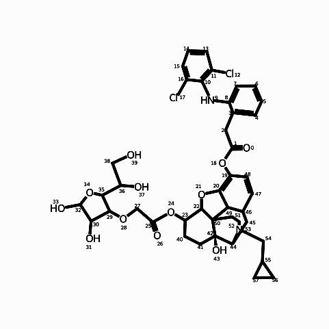 O=C(Cc1ccccc1Nc1c(Cl)cccc1Cl)OC1=C2OC3C(OC(=O)COC4C(O)C(O)OC4C(O)CO)CC[C@@]4(O)C5CC(C=C1)C2C34CCN5CC1CC1